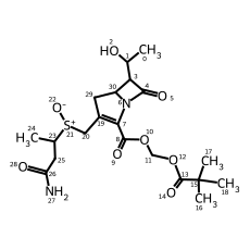 CC(O)C1C(=O)N2C(C(=O)OCOC(=O)C(C)(C)C)=C(C[S+]([O-])C(C)CC(N)=O)CC12